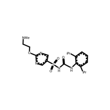 CNCCOc1ncc(S(=O)(=O)NC(=O)Nc2c(C(C)C)cccc2C(C)C)cn1